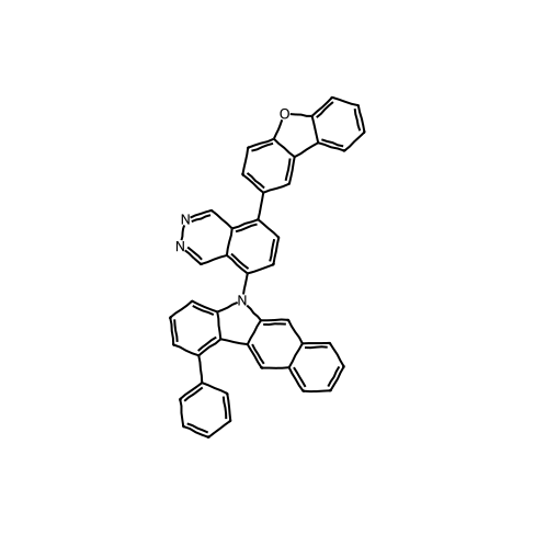 c1ccc(-c2cccc3c2c2cc4ccccc4cc2n3-c2ccc(-c3ccc4oc5ccccc5c4c3)c3cnncc23)cc1